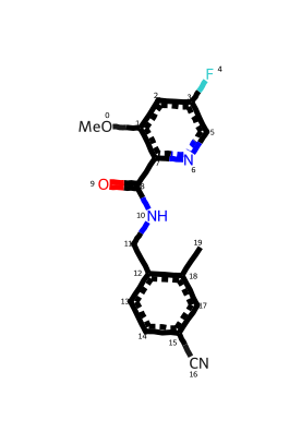 COc1cc(F)cnc1C(=O)NCc1ccc(C#N)cc1C